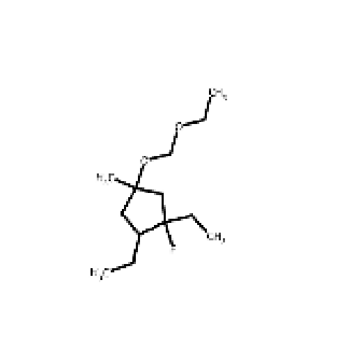 CCOCOC1(C)CC(CC)C(F)(CC)C1